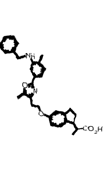 Cc1ccc(-c2nc(CCOc3ccc4c(c3)CC[C@H]4[C@H](C)C(=O)O)c(C)o2)cc1NCc1ccccc1